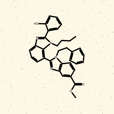 CCCCn1c(-c2ccccc2O)nc2cccc(-c3nc4cc(C(=O)OC)ccc4n3CCc3ccccc3)c21